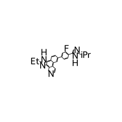 CCc1nc2c3cnccc3c3cc(-c4ccc(-c5cnc(C(C)C)[nH]5)c(F)c4)ccc3c2[nH]1